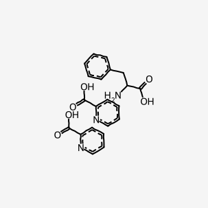 NC(Cc1ccccc1)C(=O)O.O=C(O)c1ccccn1.O=C(O)c1ccccn1